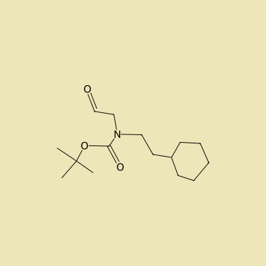 CC(C)(C)OC(=O)N(CC=O)CCC1CCCCC1